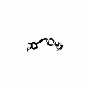 Cc1cc(C#CCN2CCN(c3nccs3)CC2)ccc1F